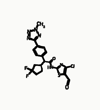 Cn1nnc(-c2ccc([C@@H](C(=O)Nc3nc(Cl)c(C=O)s3)[C@H]3CCC(F)(F)C3)cc2)n1